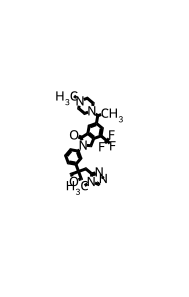 CC(c1cc2c(c(C(F)(F)F)c1)CN(c1cccc(C3(Cc4nncn4C)COC3)c1)C2=O)N1CCN(C)CC1